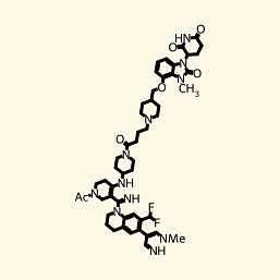 CN/C=C(\C=N)c1cc2c(cc1C(F)F)N(C(=N)C1=C(NC3CCN(C(=O)CCCN4CCC(COc5cccc6c5n(C)c(=O)n6C5CCC(=O)NC5=O)CC4)CC3)CCN(C(C)=O)C1)CCC2